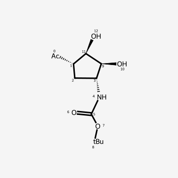 CC(=O)[C@H]1C[C@@H](NC(=O)OC(C)(C)C)[C@H](O)[C@@H]1O